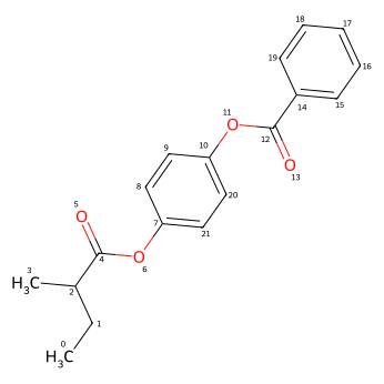 CCC(C)C(=O)Oc1ccc(OC(=O)c2ccccc2)cc1